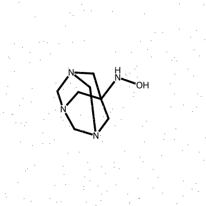 ONC12CN3CN(CN(C3)C1)C2